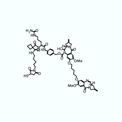 C=C1C[C@H]2C=Nc3cc(OCCCCCOc4cc5c(cc4OC)C(=O)N4CC(=C)C[C@H]4[C@H](O)N5C(=O)OCc4ccc(NC(=O)[C@H](CCCNC(N)=O)NC(=O)C5(C(=O)NCCCCCN6C(=O)CC(S)C6=O)CCC5)cc4)c(OC)cc3C(=O)N2C1